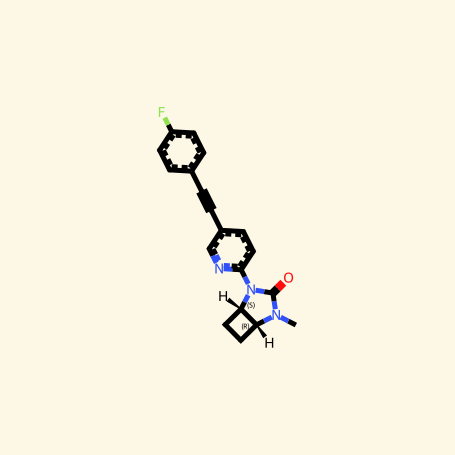 CN1C(=O)N(c2ccc(C#Cc3ccc(F)cc3)cn2)[C@H]2CC[C@H]21